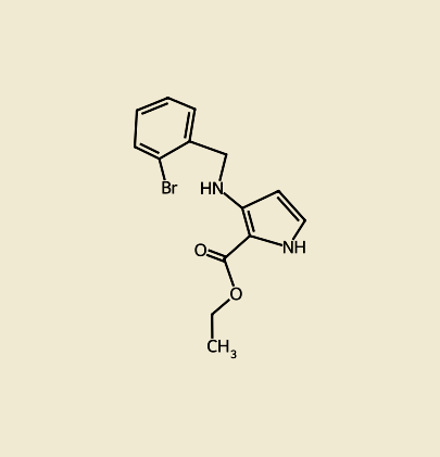 CCOC(=O)c1[nH]ccc1NCc1ccccc1Br